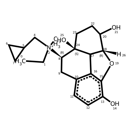 CC[N+](C)(CC1CC1)[C@@H]1Cc2ccc(O)c3c2C2[C@@H](O3)C(O)CC[C@]21O